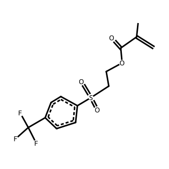 C=C(C)C(=O)OCCS(=O)(=O)c1ccc(C(F)(F)F)cc1